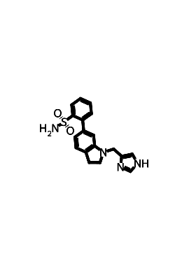 NS(=O)(=O)c1ccccc1-c1ccc2c(c1)N(Cc1c[nH]cn1)CC2